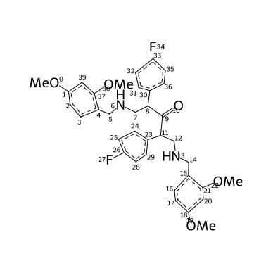 COc1ccc(CNCC(C(=O)C(CNCc2ccc(OC)cc2OC)c2ccc(F)cc2)c2ccc(F)cc2)c(OC)c1